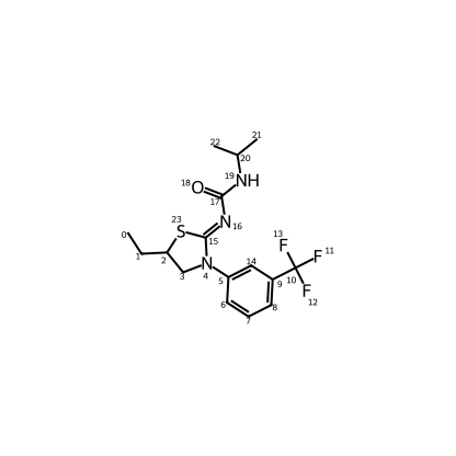 CCC1CN(c2cccc(C(F)(F)F)c2)C(=NC(=O)NC(C)C)S1